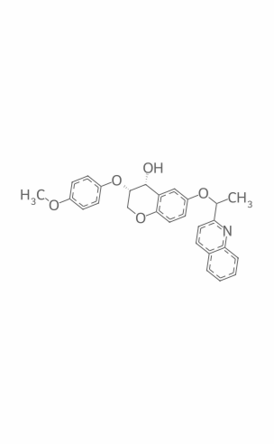 COc1ccc(O[C@H]2COc3ccc(OC(C)c4ccc5ccccc5n4)cc3[C@H]2O)cc1